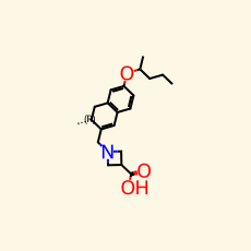 CCCC(C)Oc1ccc2c(c1)C[C@@H](C)C(CN1CC(C(=O)O)C1)=C2